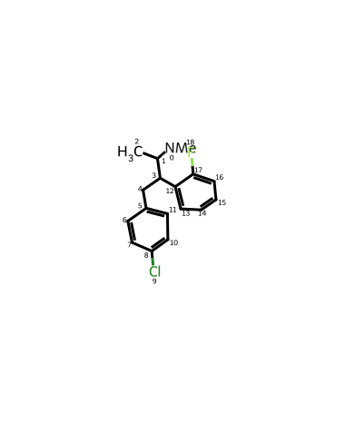 CNC(C)C(Cc1ccc(Cl)cc1)c1ccccc1F